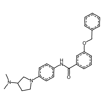 CN(C)C1CCN(c2ccc(NC(=O)c3cccc(OCc4ccccc4)c3)cc2)C1